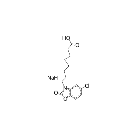 O=C(O)CCCCCCCn1c(=O)oc2ccc(Cl)cc21.[NaH]